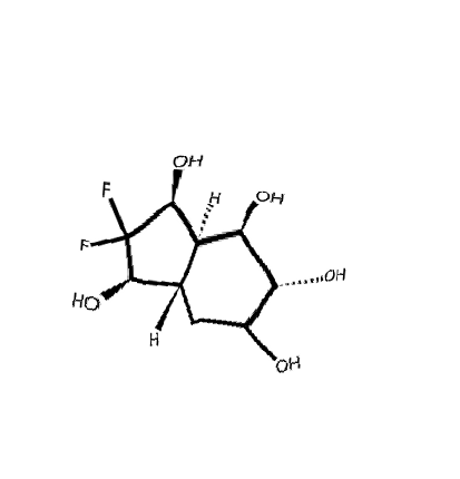 OC1C[C@H]2[C@H]([C@@H](O)[C@@H]1O)[C@H](O)C(F)(F)[C@@H]2O